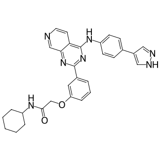 O=C(COc1cccc(-c2nc(Nc3ccc(-c4cn[nH]c4)cc3)c3ccncc3n2)c1)NC1CCCCC1